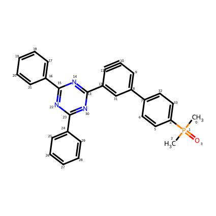 CP(C)(=O)c1ccc(-c2cc#cc(-c3nc(-c4ccccc4)nc(-c4ccccc4)n3)c2)cc1